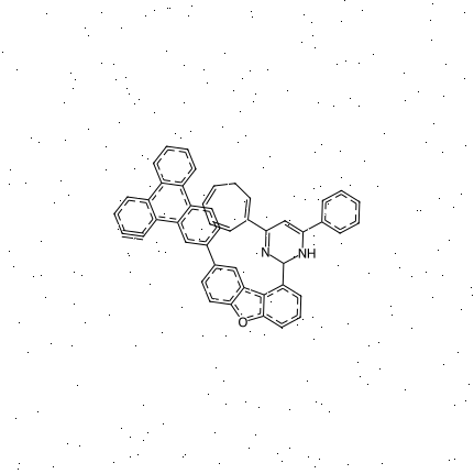 c1ccc2c(c#1)c1cc(-c3ccc4oc5cccc(C6N=C(C7=CCC=CC=C7)C=C(c7ccccc7)N6)c5c4c3)ccc1c1ccccc21